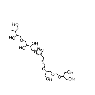 CC(CO)C(O)COCC(O)C(O)Cn1cc(CSCOC(CO)COCOC(CO)CO)nn1